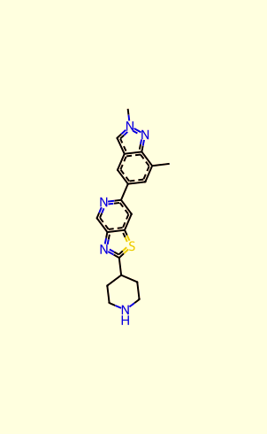 Cc1cc(-c2cc3sc(C4CCNCC4)nc3cn2)cc2cn(C)nc12